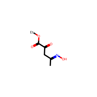 CCOC(=O)C(=O)CC(C)=NO